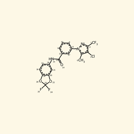 Cc1c(Cl)c(C(F)(F)F)nn1-c1cccc(C(=O)Nc2ccc3c(c2)OC(F)(F)O3)c1